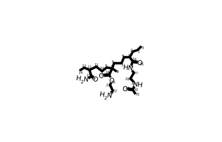 CCCC(CCCC(C)(CCCC(CC)C(N)=O)C(=O)OCCN)C(=O)NCCNC(C)=O